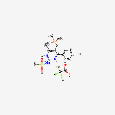 CCCC[P+](CCCC)(CCCC)Cc1c(-c2ccc(F)cc2)nc(NS(=O)(=O)CC)nc1C(C)C.O=C([O-])C(F)(F)F